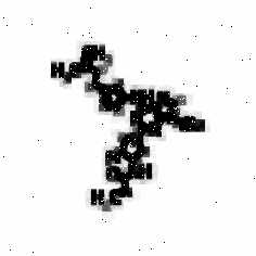 C=CC(=O)N[C@@H]1CN(c2nc(Nc3cnn(CCN(C)C)c3)c3ncn(C(C)(C)C)c3n2)C[C@H]1F